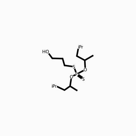 CC(C)CC(C)OP(=S)(OC(C)CC(C)C)SCCCO